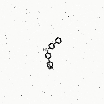 c1ccc(-c2ccc(Nc3ccc(C45CC6CC(C4)C(C6)C5)cc3)cc2)cc1